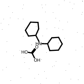 C1CCC(NC2CCCCC2)CC1.O=C(O)O